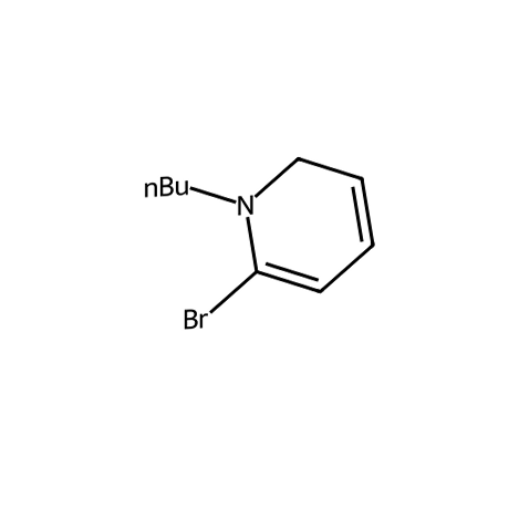 CCCCN1CC=CC=C1Br